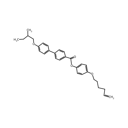 C=CCCCCOc1ccc(OC(=O)c2ccc(-c3ccc(OCC(C)CC)cc3)cc2)cc1